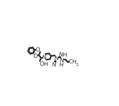 C=CCNC(=N)N(C#N)CC1CCN(C(CO)C2COc3ccccc3O2)CC1